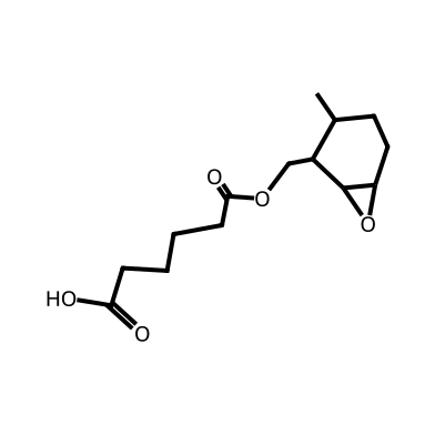 CC1CCC2OC2C1COC(=O)CCCCC(=O)O